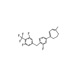 CC1=CC=C(c2ccc(Cc3cc(F)c(C(F)(F)F)c(F)c3)c(F)c2)CCC1